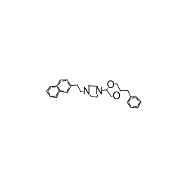 c1ccc(CC2COC(N3CCN(CCc4ccc5ccccc5c4)CC3)CO2)cc1